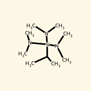 CC(C)[Si](N(C)C)(N(C)C)N(C)C